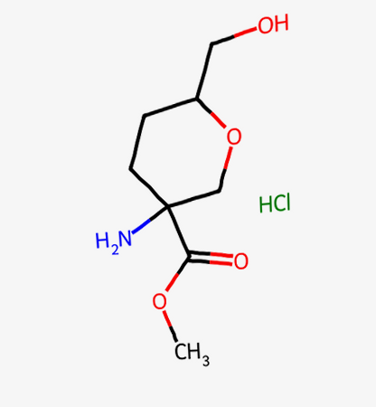 COC(=O)C1(N)CCC(CO)OC1.Cl